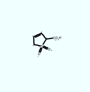 O=C(O)C1C=CCS1(=O)=O